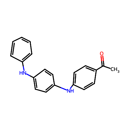 CC(=O)c1ccc(Nc2ccc(Nc3ccccc3)cc2)cc1